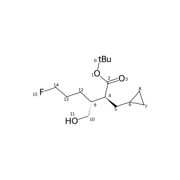 CC(C)(C)OC(=O)[C@@H](CC1CC1)[C@H](CO)CCCF